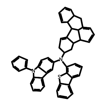 C1=CC2CC3=CC=CC4C5CC(N(c6ccc7c(c6)c6ccccc6n7-c6ccccc6)c6cccc7c6sc6ccccc67)CC=C5C(C2C=C1)C34